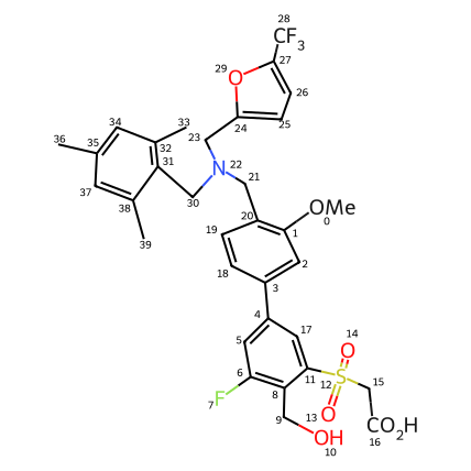 COc1cc(-c2cc(F)c(CO)c(S(=O)(=O)CC(=O)O)c2)ccc1CN(Cc1ccc(C(F)(F)F)o1)Cc1c(C)cc(C)cc1C